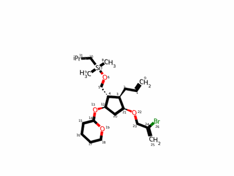 C=CC[C@@H]1[C@@H](CO[Si](C)(C)CC(C)C)[C@H](OC2CCCCO2)C[C@@H]1OCC(=C)Br